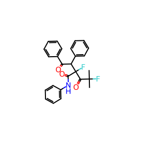 CC(C)(F)C(=O)C(F)(C(=O)Nc1ccccc1)C(C(=O)c1ccccc1)c1ccccc1